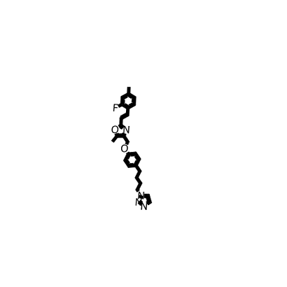 Cc1ccc(/C=C/c2nc(COc3ccc(CCCCn4ccnn4)cc3)c(C)o2)c(F)c1